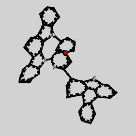 c1ccc(-n2c3ccccc3c3ccc4c5ccccc5n(-c5cccc(-c6ccc7c8ccccc8c8cccc9sc6c7c98)n5)c4c32)cc1